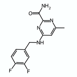 Cc1cc(NCc2ccc(F)c(F)c2)nc(C(N)=O)n1